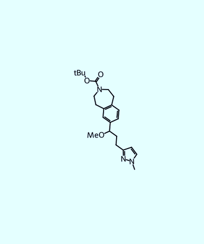 COC(CCc1ccn(C)n1)c1ccc2c(c1)CCN(C(=O)OC(C)(C)C)CC2